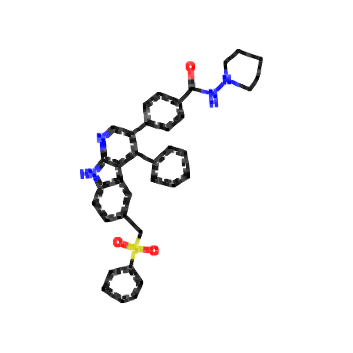 O=C(NN1CCCCC1)c1ccc(-c2cnc3[nH]c4ccc(CS(=O)(=O)c5ccccc5)cc4c3c2-c2ccccc2)cc1